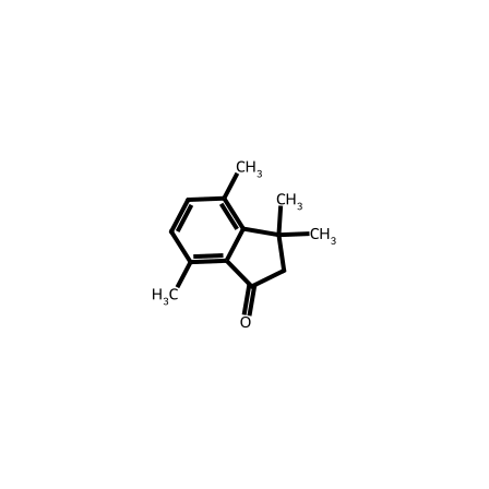 Cc1ccc(C)c2c1C(=O)CC2(C)C